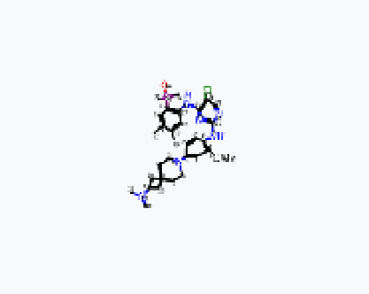 COc1cc(N2CCC3(CC2)CC(N(C)C)C3)ccc1Nc1ncc(Cl)c(Nc2cc(C)c(C)cc2P(C)(C)=O)n1